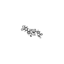 CC(=NNC(=O)c1ccc(C(=O)N(C)C)s1)c1csc(-c2ccc(Cl)c(Cl)c2)c1O.[K]